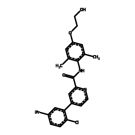 Cc1cc(OCCO)cc(C)c1NC(=O)c1cc(-c2cc(C(C)C)ccc2Cl)ccn1